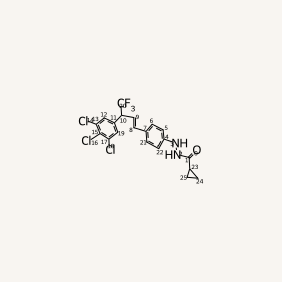 O=C(NNc1ccc(C=CC(c2cc(Cl)c(Cl)c(Cl)c2)C(F)(F)F)cc1)C1CC1